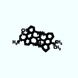 CN(C)c1c2cccc(N)c2c(C2C(O)C(c3c4c(N)cccc4c4c5c(ccc(N)c35)N(C)CN4C)C2O)c2c(N)cccc12